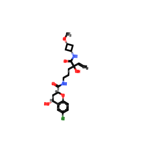 C=CC(O)(CCCNC(=O)[C@H]1C[C@@H](O)c2cc(Cl)ccc2O1)C(=O)N[C@H]1C[C@@H](OC(F)(F)F)C1